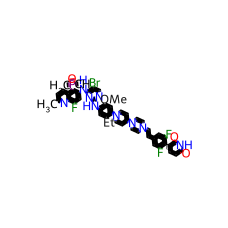 CCc1cc(Nc2ncc(Br)c(Nc3cc(F)c4nc(C)ccc4c3P(C)(C)=O)n2)c(OC)cc1N1CCC(N2CCN(CCc3cc(F)c([C@H]4CCC(=O)NC4=O)c(F)c3)CC2)CC1